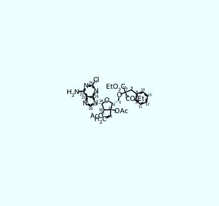 C=C[C@@]1(OC(C)=O)[C@@H](COC(Cc2ccccc2)(C(=O)OCC)C(=O)OCC)O[C@@H](n2cnc3c(N)nc(Cl)nc32)[C@@H]1OC(C)=O